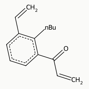 C=CC(=O)c1cccc(C=C)c1CCCC